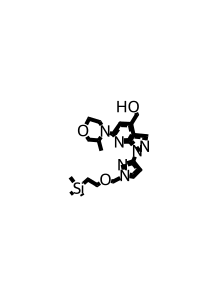 CC1COCCN1c1cc(CO)c2cnn(-c3ccn(COCC[Si](C)(C)C)n3)c2n1